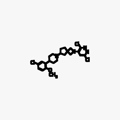 COc1ccc(Cl)cc1C1CCN(C2CCC3(C2)CN(c2cc(Cl)nnc2Cl)C3)CC1